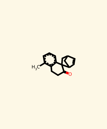 Cc1cccc2c1CCC(=O)C21CC2C=CC1C2